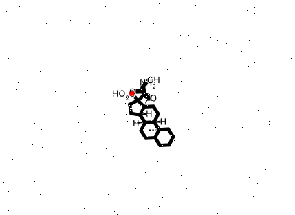 CC(CO)C1(C(=O)O)CC[C@H]2[C@@H]3CCC4CCCC[C@]4(C)[C@H]3CC[C@@]21C(=O)C(N)=O